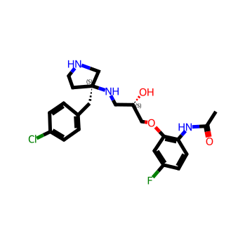 CC(=O)Nc1ccc(F)cc1OC[C@@H](O)CN[C@@]1(Cc2ccc(Cl)cc2)CCNC1